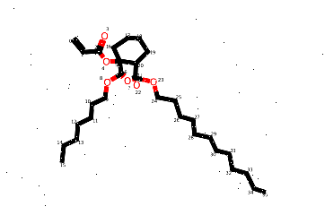 C=CC(=O)OC1(C(=O)OCCCCCCC)CCCCC1C(=O)OCCCCCCCCCCCC